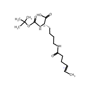 C/C=C/CCC(=O)NCCCC[C@H](NC(=O)OC(C)(C)C)C(=O)O